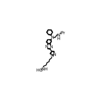 CC(C)NCCN(c1ccccc1)c1ccc2ncc(-c3cnn(CCCCCCNO)c3)nc2c1